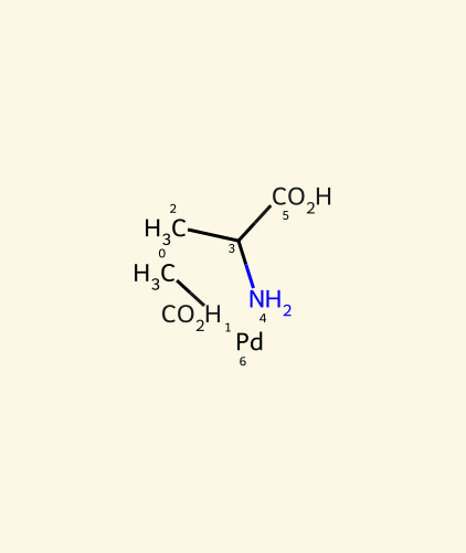 CC(=O)O.CC(N)C(=O)O.[Pd]